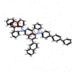 c1ccc(-c2ccc(-c3ccc(N(c4cccc(-c5ccc6ccccc6c5)c4)c4ccccc4-c4cccc(N(c5ccccc5-c5ccccc5)c5cccc6c5oc5ccccc56)c4)cc3)cc2)cc1